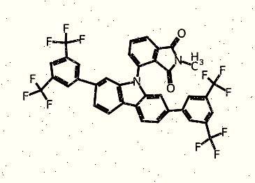 CN1C(=O)c2cccc(-n3c4cc(-c5cc(C(F)(F)F)cc(C(F)(F)F)c5)ccc4c4ccc(-c5cc(C(F)(F)F)cc(C(F)(F)F)c5)cc43)c2C1=O